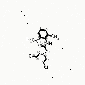 COc1cccc(C)c1NC(=O)CN(CCCl)CCCl